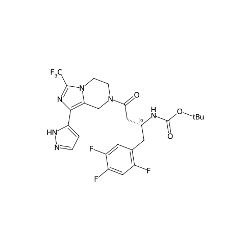 CC(C)(C)OC(=O)N[C@@H](CC(=O)N1CCn2c(C(F)(F)F)nc(-c3ccn[nH]3)c2C1)Cc1cc(F)c(F)cc1F